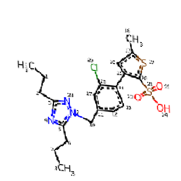 CCCc1nc(CCC)n(Cc2ccc(-c3cc(C)sc3S(=O)(=O)O)c(Cl)c2)n1